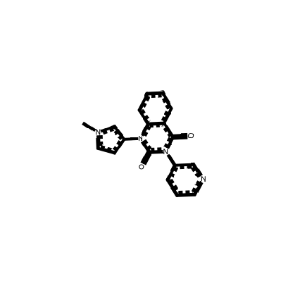 Cn1ccc(-n2c(=O)n(-c3cccnc3)c(=O)c3ccccc32)c1